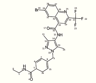 CCNC(=O)C1C=CC(Cn2nc(C)c(NC(=O)c3cc(C(F)(F)F)nc4ccc(Br)cc34)c2C)=CC1